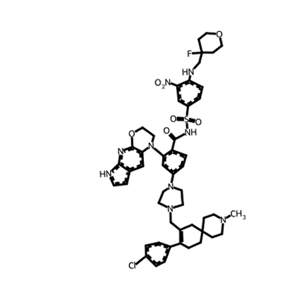 CN1CCC2(CCC(c3ccc(Cl)cc3)=C(CN3CCN(c4ccc(C(=O)NS(=O)(=O)c5ccc(NCC6(F)CCOCC6)c([N+](=O)[O-])c5)c(N5CCOc6nc7[nH]ccc7cc65)c4)CC3)C2)CC1